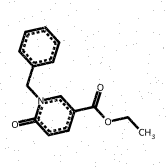 CCOC(=O)c1ccc(=O)n(Cc2ccccc2)c1